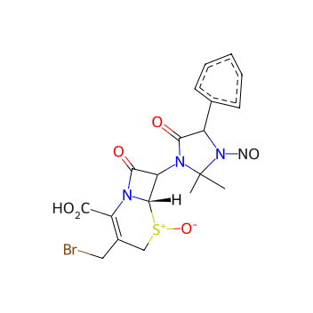 CC1(C)N(N=O)C(c2ccccc2)C(=O)N1C1C(=O)N2C(C(=O)O)=C(CBr)C[S+]([O-])[C@@H]12